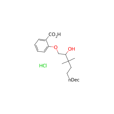 CCCCCCCCCCCCC(C)(C)C(O)COc1ccccc1C(=O)O.Cl